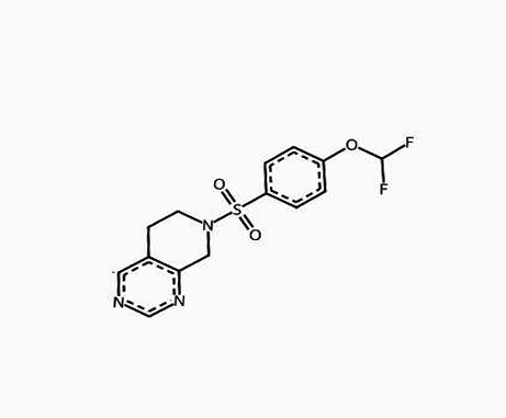 O=S(=O)(c1ccc(OC(F)F)cc1)N1CCc2[c]ncnc2C1